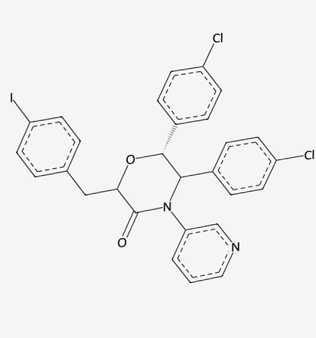 O=C1C(Cc2ccc(I)cc2)O[C@H](c2ccc(Cl)cc2)C(c2ccc(Cl)cc2)N1c1cccnc1